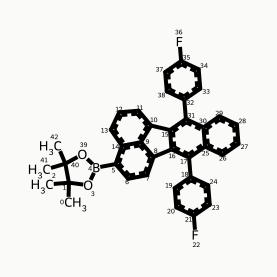 CC1(C)OB(c2ccc3c4c(cccc24)-c2c-3c(-c3ccc(F)cc3)c3ccccc3c2-c2ccc(F)cc2)OC1(C)C